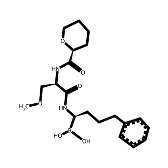 COC[C@@H](NC(=O)[C@@H]1CCCCO1)C(=O)N[C@@H](CCCc1ccccc1)B(O)O